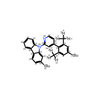 [2H]C([2H])([2H])c1cc(C(C)(C)C)cc(C([2H])([2H])[2H])c1-c1ccnc(-n2c3ccccc3c3ccc(C(C)(C)C)cc32)c1